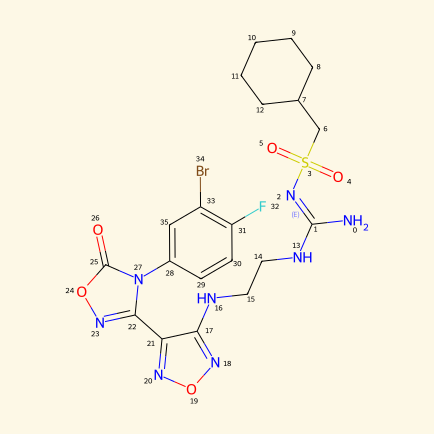 N/C(=N\S(=O)(=O)CC1CCCCC1)NCCNc1nonc1-c1noc(=O)n1-c1ccc(F)c(Br)c1